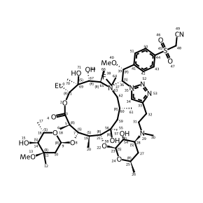 CC[C@H]1OC(=O)[C@H](C)[C@@H](O[C@H]2C[C@@](C)(OC)[C@@H](O)[C@H](C)O2)[C@H](C)[C@@H](O[C@@H]2O[C@H](C)C[C@H](N(C)CCc3cn([C@H](CF)[C@H](OC)c4ccc(S(=O)(=O)CC#N)cc4)nn3)[C@H]2O)[C@](C)(O)C[C@@H](C)CN(C)[C@H](C)[C@@H](O)[C@]1(C)O